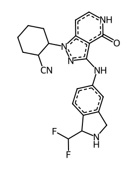 N#CC1CCCCC1n1nc(Nc2ccc3c(c2)CNC3C(F)F)c2c(=O)[nH]ccc21